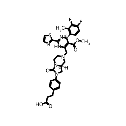 COC(=O)C1=C(CN2CCN3C(=O)N(c4ccc(CCC(=O)O)cc4)C[C@@H]3C2)NC(c2nccs2)=N[C@H]1c1ccc(F)c(F)c1C